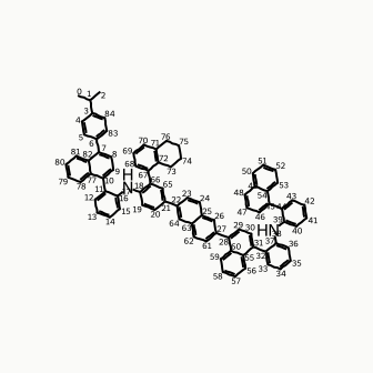 CC(C)c1ccc(-c2ccc(-c3ccccc3Nc3ccc(-c4ccc5cc(-c6ccc(-c7ccccc7Nc7ccccc7-c7cccc8ccccc78)c7ccccc67)ccc5c4)cc3-c3cccc4c3CCCC4)c3ccccc23)cc1